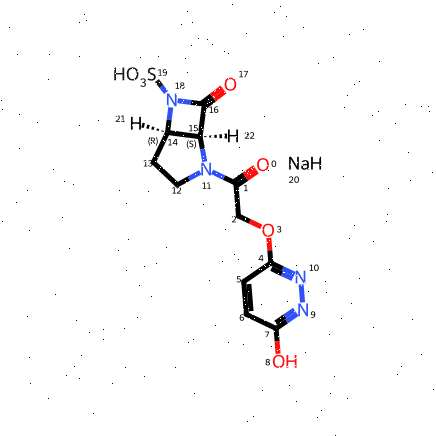 O=C(COc1ccc(O)nn1)N1CC[C@@H]2[C@H]1C(=O)N2S(=O)(=O)O.[NaH]